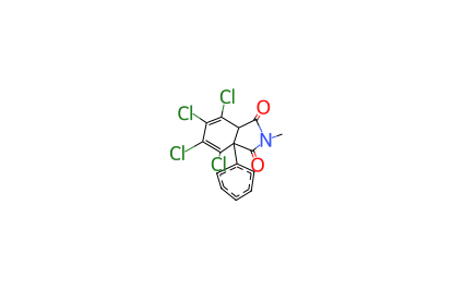 CN1C(=O)C2C(Cl)=C(Cl)C(Cl)=C(Cl)C2(c2ccccc2)C1=O